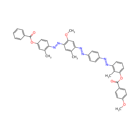 COc1ccc(C(=O)Oc2cccc(N=Nc3ccc(N=Nc4cc(OC)c(N=Nc5ccc(OC(=O)c6ccccc6)cc5C)cc4C)cc3)c2C)cc1